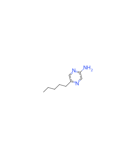 CCCCCc1cnc(N)cn1